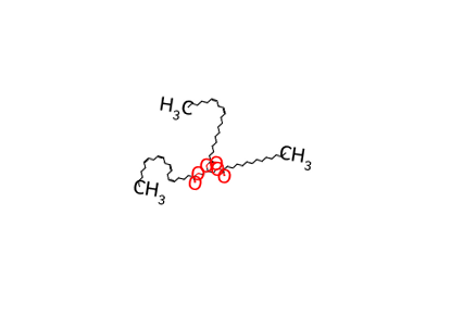 CCCCC/C=C\C/C=C\C/C=C\C/C=C\CCCC(=O)OC[C@@H](COC(=O)CCCCCCCCCCCCC)OC(=O)CCCCCCCCC/C=C\C/C=C\CCCCC